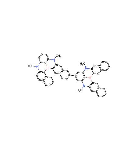 CN1c2cc3ccccc3cc2B2c3cc4ccccc4cc3N(C)c3cc(-c4ccc5cc6c(cc5c4)N(C)c4cccc5c4B6c4c(ccc6ccccc46)N5C)cc1c32